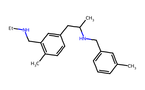 CCNCc1cc(CC(C)NCc2cccc(C)c2)ccc1C